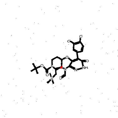 CC(C)(C)OC(=O)N1CCC(Oc2c(N(C=O)OCC[Si](C)(C)C)n[nH]c(=O)c2-c2ccc(Cl)c(Cl)c2)CC1